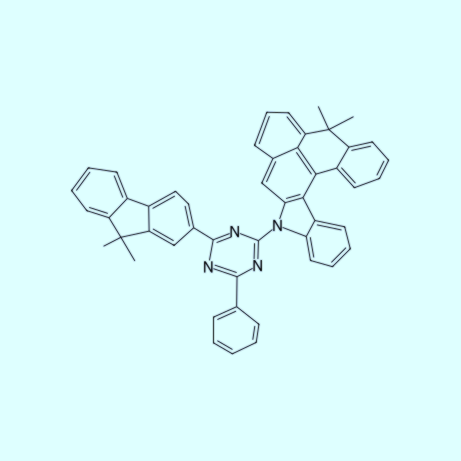 CC1(C)c2ccccc2-c2ccc(-c3nc(-c4ccccc4)nc(-n4c5ccccc5c5c6c7c(cccc7cc54)C(C)(C)c4ccccc4-6)n3)cc21